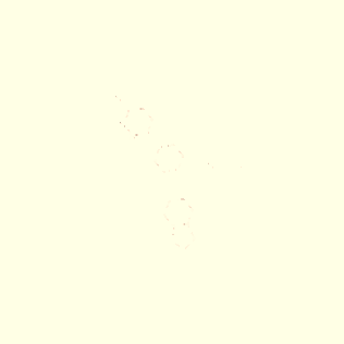 CN1Cc2cc(-c3ccc(N)nn3)ccc2C(c2ccc3sccc3c2)C1